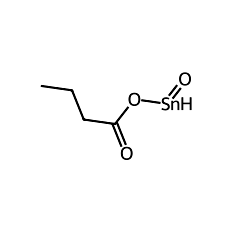 CCCC(=O)[O][SnH]=[O]